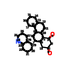 O=C1CC(=O)c2c(ccc3c2ccc2ccccc23)C1.c1ccc2ncccc2c1